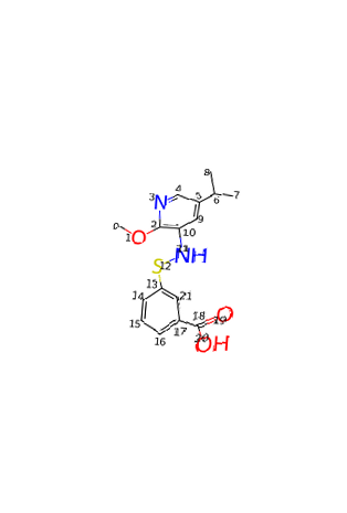 COc1ncc(C(C)C)cc1NSc1cccc(C(=O)O)c1